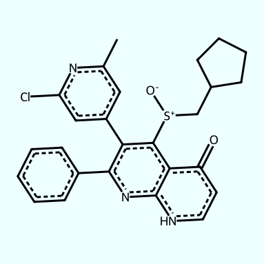 Cc1cc(-c2c(-c3ccccc3)nc3[nH]ccc(=O)c3c2[S+]([O-])CC2CCCC2)cc(Cl)n1